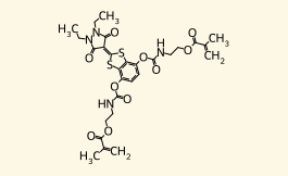 C=C(C)C(=O)OCCNC(=O)Oc1ccc(OC(=O)NCCOC(=O)C(=C)C)c2c1SC(=C1C(=O)N(CC)N(CC)C1=O)S2